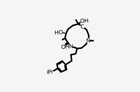 CC(C)c1ccc(CCCC2CCN(C)CCCC(C)(O)CC[C@H](O)C(C)C(=O)N2)cc1